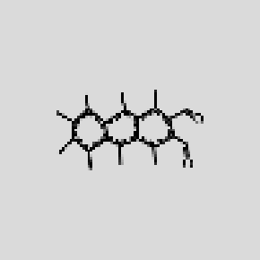 Cc1c(C)c(C)c2c(C)c3c(C)c(C=O)c(C=O)c(C)c3c(C)c2c1C